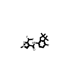 Cn1cc(C(=O)Nc2ccc(F)c3c2CC(C)(C)C3(C)C)c(C(F)F)n1